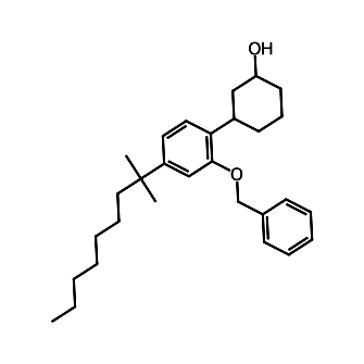 CCCCCCCC(C)(C)c1ccc(C2CCCC(O)C2)c(OCc2ccccc2)c1